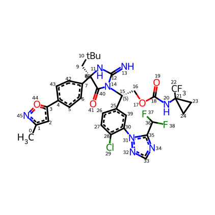 Cc1cc(-c2ccc([C@@]3(CC(C)(C)C)NC(=N)N([C@H](COC(=O)NC4(C(F)(F)F)CC4)c4ccc(Cl)c(-n5ncnc5C(F)F)c4)C3=O)cc2)on1